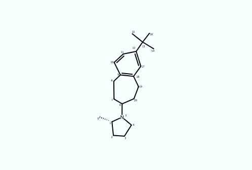 C[C@H]1CCCN1C1CCc2ccc(C(C)(C)C)cc2CC1